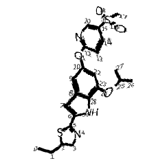 CCC1CN=C(c2cc3cc(Oc4ccc(S(C)(=O)=O)cn4)cc(OC(C)C)c3[nH]2)S1